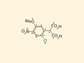 COc1cc(C(C(=O)O)C(=O)O)c(Cl)cc1[N+](=O)[O-]